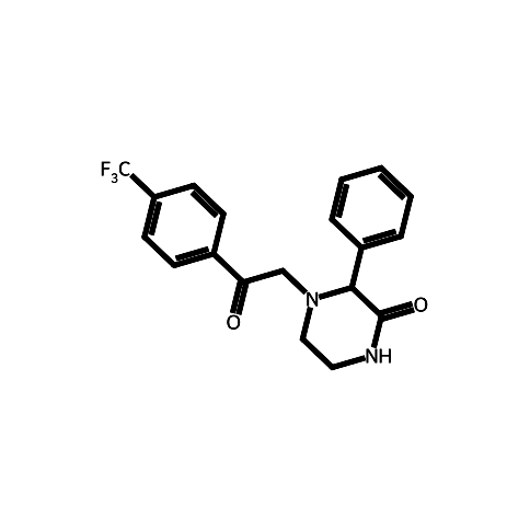 O=C(CN1CCNC(=O)C1c1ccccc1)c1ccc(C(F)(F)F)cc1